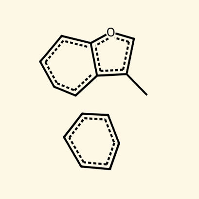 Cc1coc2ccccc12.c1ccccc1